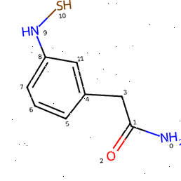 NC(=O)Cc1cccc(NS)c1